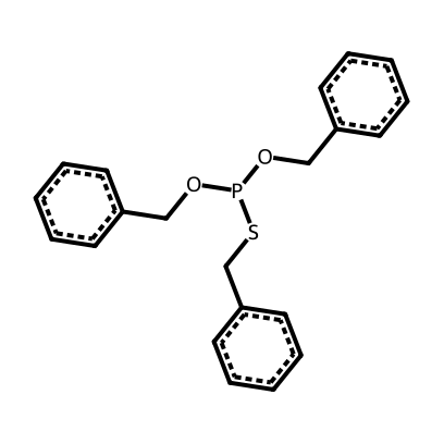 c1ccc(COP(OCc2ccccc2)SCc2ccccc2)cc1